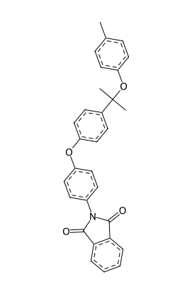 Cc1ccc(OC(C)(C)c2ccc(Oc3ccc(N4C(=O)c5ccccc5C4=O)cc3)cc2)cc1